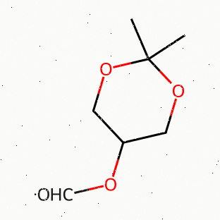 CC1(C)OCC(O[C]=O)CO1